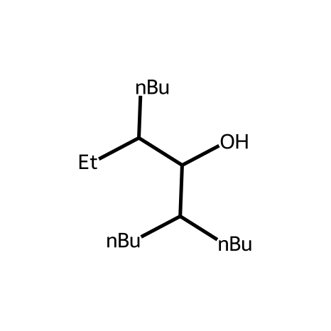 CCCCC(CC)C(O)C(CCCC)CCCC